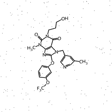 Cc1cncc(Cn2c(Oc3cccc(OC(F)(F)F)c3)nc3c2c(=O)n(CCCO)c(=O)n3C)c1